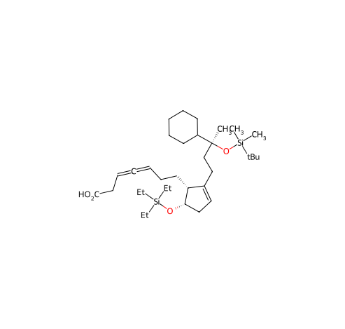 CC[Si](CC)(CC)O[C@H]1CC=C(CC[C@](C)(O[Si](C)(C)C(C)(C)C)C2CCCCC2)[C@H]1CCC=C=CCC(=O)O